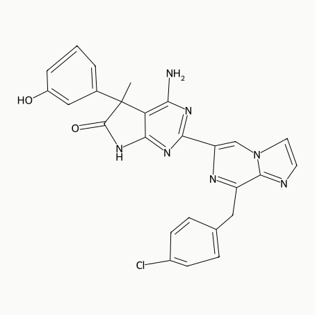 CC1(c2cccc(O)c2)C(=O)Nc2nc(-c3cn4ccnc4c(Cc4ccc(Cl)cc4)n3)nc(N)c21